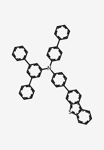 c1ccc(-c2ccc(N(c3ccc(-c4ccc5c(c4)sc4ccccc45)cc3)c3cc(-c4ccccc4)cc(-c4ccccc4)c3)cc2)cc1